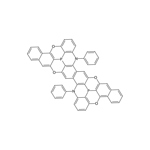 c1ccc(-n2c3cccc4oc5c6ccccc6cc6oc7cc8c(cc9oc%10cc%11ccccc%11c%11oc%12cccc%13c%12p(c%10%11)c9c8n%13-c8ccccc8)c2c7p(c65)c43)cc1